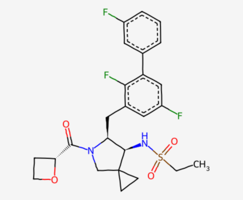 CCS(=O)(=O)N[C@@H]1[C@H](Cc2cc(F)cc(-c3cccc(F)c3)c2F)N(C(=O)[C@H]2CCO2)CC12CC2